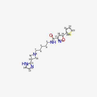 O=C(NCCCCCN1CC(c2ncc[nH]2)C1)c1cc(-c2cccs2)on1